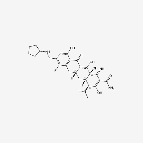 CN(C)[C@@H]1C(O)=C(C(N)=O)C(=N)[C@@]2(O)C(O)=C3C(=O)c4c(O)cc(CNC5CCCC5)c(F)c4C[C@H]3C[C@@H]12